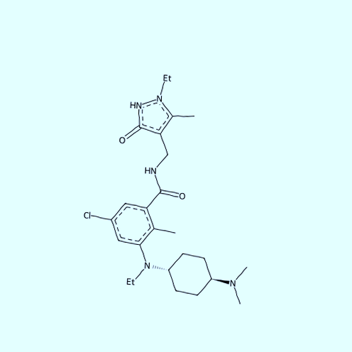 CCn1[nH]c(=O)c(CNC(=O)c2cc(Cl)cc(N(CC)[C@H]3CC[C@H](N(C)C)CC3)c2C)c1C